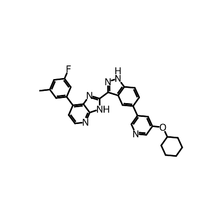 Cc1cc(F)cc(-c2ccnc3[nH]c(-c4n[nH]c5ccc(-c6cncc(OC7CCCCC7)c6)cc45)nc23)c1